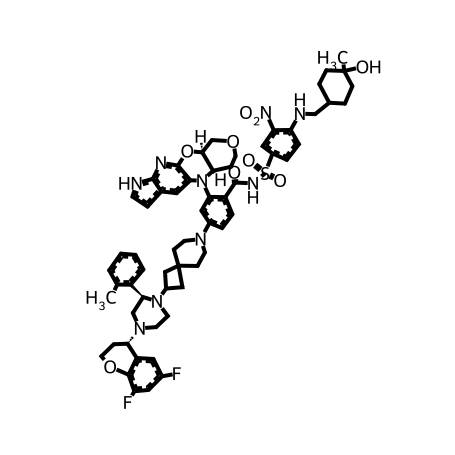 Cc1ccccc1[C@@H]1CN([C@H]2CCOc3c(F)cc(F)cc32)CCN1C1CC2(CCN(c3ccc(C(=O)NS(=O)(=O)c4ccc(NCC5CCC(C)(O)CC5)c([N+](=O)[O-])c4)c(N4c5cc6cc[nH]c6nc5O[C@H]5COCC[C@@H]54)c3)CC2)C1